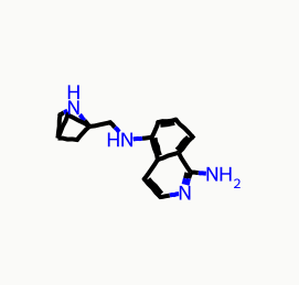 Nc1nccc2c(NCC34CC(CN3)C4)cccc12